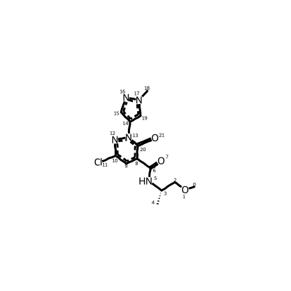 COC[C@H](C)NC(=O)c1cc(Cl)nn(-c2cnn(C)c2)c1=O